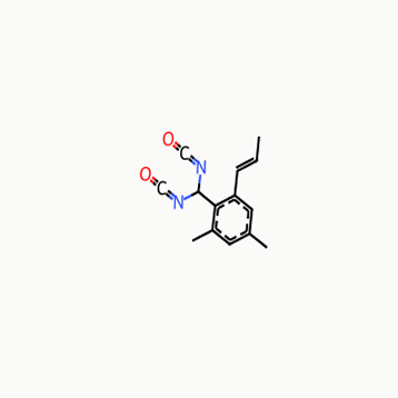 CC=Cc1cc(C)cc(C)c1C(N=C=O)N=C=O